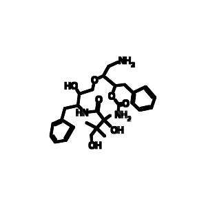 CC(C)(CO)C(C)(O)C(=O)NC(Cc1ccccc1)C(O)COC(CN)C(Cc1ccccc1)OC(N)=O